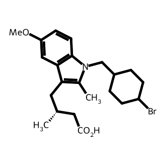 COc1ccc2c(c1)c(C[C@@H](C)CC(=O)O)c(C)n2CC1CCC(Br)CC1